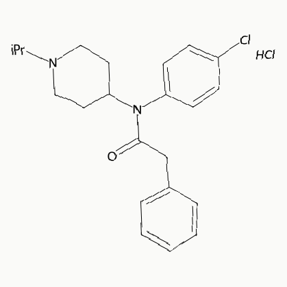 CC(C)N1CCC(N(C(=O)Cc2ccccc2)c2ccc(Cl)cc2)CC1.Cl